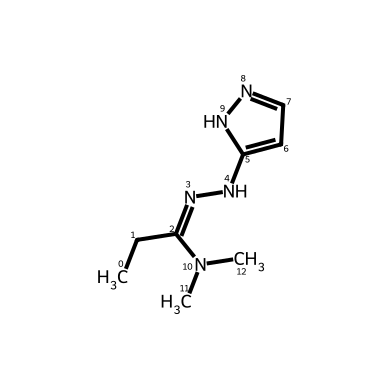 CCC(=NNc1ccn[nH]1)N(C)C